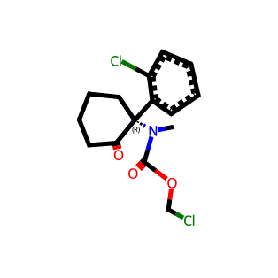 CN(C(=O)OCCl)[C@@]1(c2ccccc2Cl)CCCCC1=O